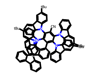 CC(C)(C)c1ccc2c(c1)c1ccccc1n2-c1c(C#N)c(-n2c3ccccc3c3cc(C(C)(C)C)ccc32)c(-n2c3ccccc3c3cc(C(C)(C)C)ccc32)c(-c2cccc3c2-c2ncccc2[Si]32c3ccccc3-c3ccccc32)c1-n1c2ccccc2c2cc(C(C)(C)C)ccc21